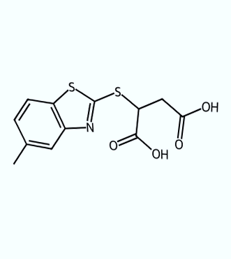 Cc1ccc2sc(SC(CC(=O)O)C(=O)O)nc2c1